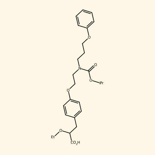 CCOC(Cc1ccc(OCCN(CCCOc2ccccc2)C(=O)OC(C)C)cc1)C(=O)O